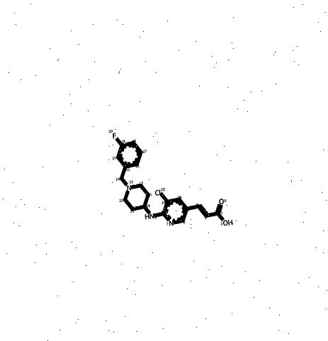 O=C(O)/C=C/c1cnc(NC2CCN(Cc3cccc(F)c3)CC2)c(Cl)c1